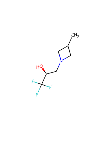 CC1CN(C[C@H](O)C(F)(F)F)C1